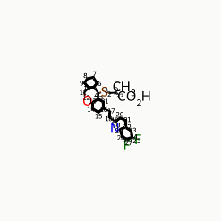 CC(CSC1c2ccccc2COc2ccc(C=Cc3ccc4cc(F)c(F)cc4n3)cc21)C(=O)O